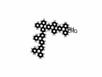 O=CO.c1ccc(-c2ccccc2-c2ccccc2)cc1.c1ccc(-c2ccccc2-c2ccccc2)cc1.c1ccc(-c2ccccc2-c2ccccc2)cc1.c1ccc(-c2ccccc2-c2ccccc2)cc1.c1ccc(-c2ccccc2-c2ccccc2)cc1